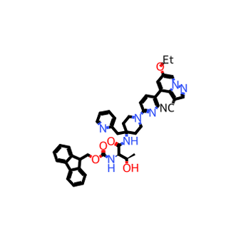 CCOc1cc(-c2ccc(N3CCC(Cc4ccccn4)(NC(=O)[C@@H](NC(=O)OCC4c5ccccc5-c5ccccc54)[C@@H](C)O)CC3)nc2)c2c(C#N)cnn2c1